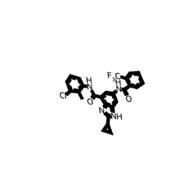 Cc1c(Cl)cccc1NC(=O)c1cc(NC(=O)c2ccccc2C(F)(F)F)cc2[nH]c(C3CC3)nc12